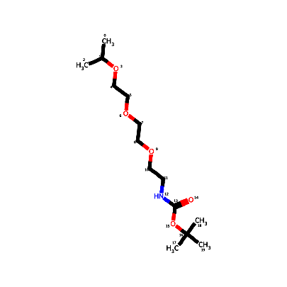 CC(C)OCCOCCOCCNC(=O)OC(C)(C)C